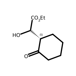 CCOC(=O)C(O)[C@@H]1CCCCC1=O